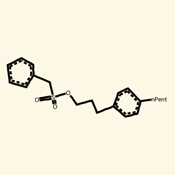 CCCCCc1ccc(CCCOS(=O)(=O)Cc2ccccc2)cc1